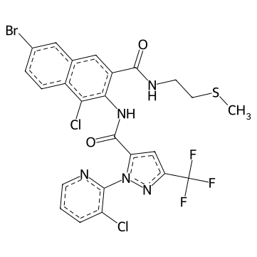 CSCCNC(=O)c1cc2cc(Br)ccc2c(Cl)c1NC(=O)c1cc(C(F)(F)F)nn1-c1ncccc1Cl